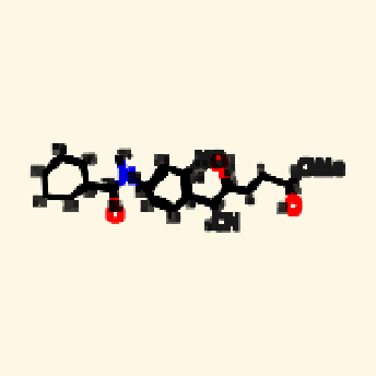 COC(=O)CCC(=O)C(C#N)c1ccc(N(C)C(=O)C2CCCCC2)cc1[N+](=O)[O-]